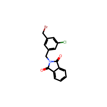 O=C1c2ccccc2C(=O)N1Cc1cc(Cl)cc(CBr)c1